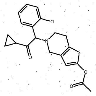 CC(=O)Oc1cc2c(s1)CCN(C(C(=O)C1CC1)c1ccccc1Cl)C2